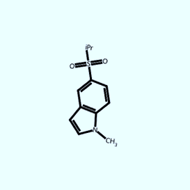 CC(C)S(=O)(=O)c1ccc2c(ccn2C)c1